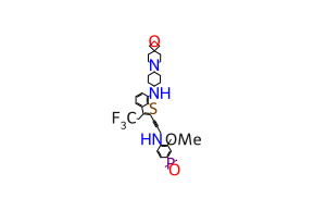 COc1cc(P(C)(C)=O)ccc1NCC#Cc1sc2c(NC3CCC(N4CCC5(CC4)COC5)CC3)cccc2c1CC(F)(F)F